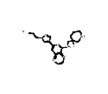 COCCn1cc(-c2cc3nccnc3c(NCC3(F)CCCNC3)n2)cn1